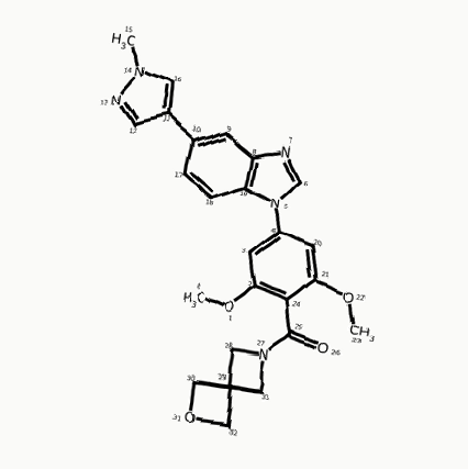 COc1cc(-n2cnc3cc(-c4cnn(C)c4)ccc32)cc(OC)c1C(=O)N1CC2(COC2)C1